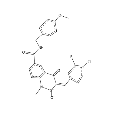 COc1ccc(CNC(=O)c2ccc3c(c2)C(=O)/C(=C\c2ccc(Cl)c(F)c2)[S+]([O-])N3C)cc1